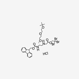 CC(C)(C)OCCOCCOC[C@H](CNCC(=O)OCC(Br)(Br)Br)NC(=O)OCC1c2ccccc2-c2ccccc21.Cl